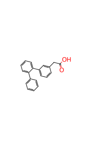 O=C(O)Cc1cccc(-c2ccccc2-c2ccccc2)c1